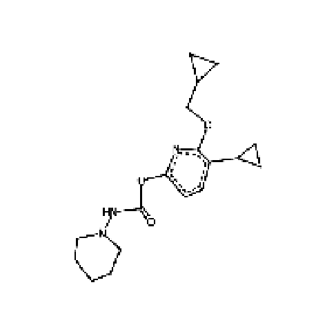 O=C(NN1CCCCC1)Oc1ccc(C2CC2)c(OCC2CC2)n1